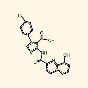 O=C(Nc1scc(-c2ccc(Cl)cc2)c1C(=O)O)c1ccc2cccc(O)c2n1